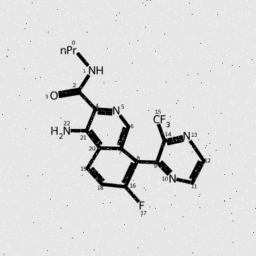 CCCNC(=O)c1ncc2c(-c3nccnc3C(F)(F)F)c(F)ccc2c1N